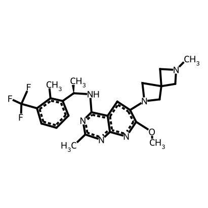 COc1nc2nc(C)nc(N[C@H](C)c3cccc(C(F)(F)F)c3C)c2cc1N1CC2(CN(C)C2)C1